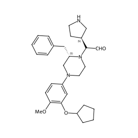 COc1ccc(N2CCN(C(C=O)[C@H]3CCNC3)[C@@H](Cc3ccccc3)C2)cc1OC1CCCC1